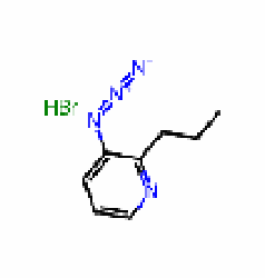 Br.CCCc1ncccc1N=[N+]=[N-]